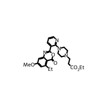 CCOC(=O)CCN1CCN(c2ncccc2-c2nc3cc(OC)cc(CC)c3c(=O)o2)CC1